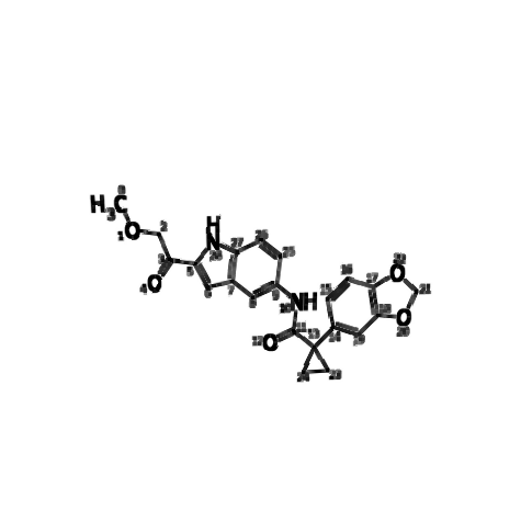 COCC(=O)c1cc2cc(NC(=O)C3(c4ccc5c(c4)OCO5)CC3)ccc2[nH]1